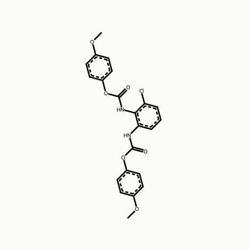 COc1ccc(OC(=O)Nc2cccc(Cl)c2NC(=O)Oc2ccc(OC)cc2)cc1